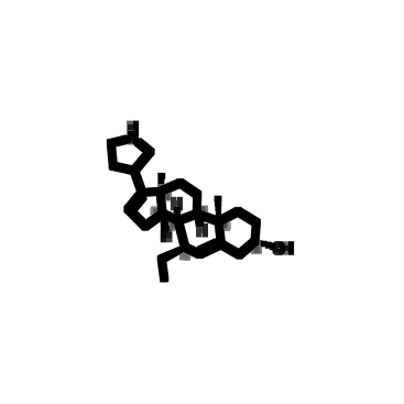 CC[C@@H]1C=C2C[C@@H](O)CC[C@]2(C)[C@H]2CC[C@]3(C)C(C4CCNC4)=CC[C@H]3[C@H]12